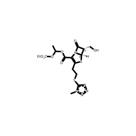 CCOC(=O)OC(C)OC(=O)C1=C(CCSc2nnnn2C)S[C@@H]2[C@@H](CO)C(=O)N12